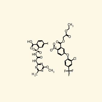 CCOC(=O)COC(=O)c1cc(Oc2ccc(C(F)(F)F)cc2Cl)ccc1[N+](=O)[O-].COc1nc(C)nc(NC(=O)NS(=O)(=O)c2cc(I)ccc2C(=O)O)n1